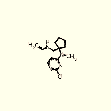 C=CNCC1(N(C)c2ccnc(Cl)n2)CCCC1